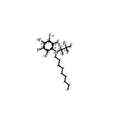 CCCCCCCCCN(c1c(F)c(F)c(F)c(F)c1F)C(F)(F)C(F)(F)F